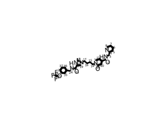 O=C(NCc1ccccn1)c1ccn(CCCCn2cc(C(=O)NCc3cccc(OC(F)(F)F)c3)nn2)c(=O)c1